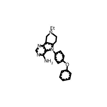 CCN1CCc2c(c3ncnc(N)c3n2-c2ccc(Oc3ccccc3)cc2)C1